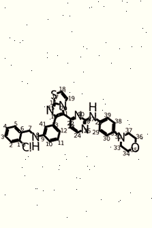 Clc1ccccc1CNc1cccc(-c2nc3sccn3c2-c2ccnc(Nc3ccc(N4CCOCC4)cc3)n2)c1